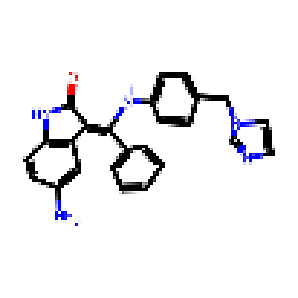 Nc1ccc2c(c1)/C(=C(/Nc1ccc(Cn3ccnc3)cc1)c1ccccc1)C(=O)N2